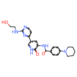 O=C(Nc1cc(-c2ccnc(NCCO)n2)c[nH]c1=O)c1ccc(N2CCCCC2)cc1